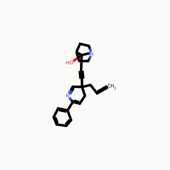 C=CCC1(C#CC2(O)CN3CCC2CC3)C=NC(c2ccccc2)=CC1